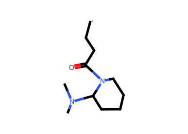 [CH2]CCC(=O)N1CCCCC1N(C)C